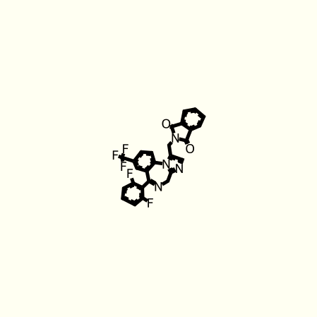 O=C1c2ccccc2C(=O)N1Cc1cnc2n1-c1ccc(C(F)(F)F)cc1C(c1c(F)cccc1F)=NC2